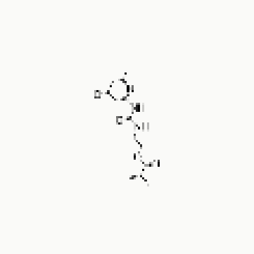 C=C(C)C(=O)OCCNC(=O)NC1=CC(=O)CC(C)=N1